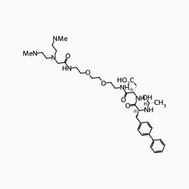 CNCCN(CCNC)CC(=O)NCCOCCOCCNC(=O)[C@H](CC(=O)O)NC(=O)[C@H](Cc1ccc(-c2ccccc2)cc1)N[C@@H](C)O